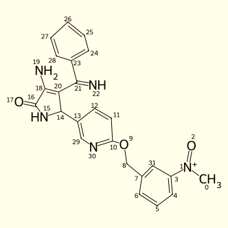 C[N+](=O)c1cccc(COc2ccc(C3NC(=O)C(N)=C3C(=N)c3ccccc3)cn2)c1